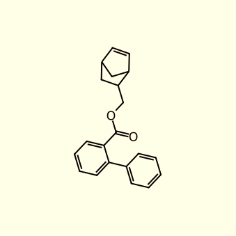 O=C(OCC1CC2C=CC1C2)c1ccccc1-c1ccccc1